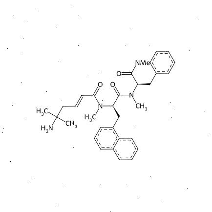 CNC(=O)[C@@H](Cc1ccccc1)N(C)C(=O)[C@@H](Cc1cccc2ccccc12)N(C)C(=O)/C=C/CC(C)(C)N